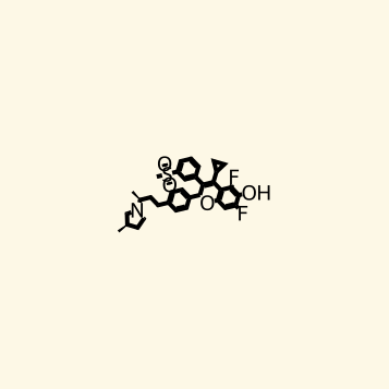 C[C@@H]1CCN([C@@H](C)CCc2ccc(C3Oc4cc(F)c(O)c(F)c4C(C4CC4)=C3c3cccc(S(C)(=O)=O)c3)cc2)C1